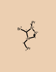 CC(C)CN1C=NN(C(C)C)C1Br